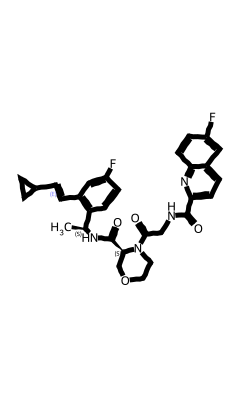 C[C@H](NC(=O)[C@@H]1COCCN1C(=O)CNC(=O)c1ccc2cc(F)ccc2n1)c1ccc(F)cc1/C=C/C1CC1